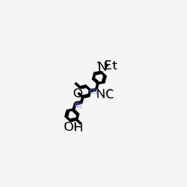 [C-]#[N+]/C(=C1/C=C(C)OC(/C=C/c2ccc(O)c(C)c2)=C1)c1ccc(N(C)CC)cc1